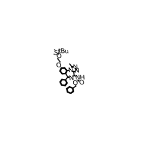 Cc1nnc2n1-c1cc(OCCO[Si](C)(C)C(C)(C)C)ccc1C(c1ccccc1)=NC2NC(=O)OCc1ccccc1